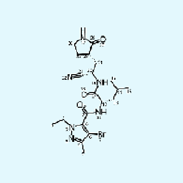 CCn1nc(C)c(Br)c1C(=O)N[C@@H](CC(C)C)C(=O)N[C@H](C#N)C[C@@H]1CCNC1=O